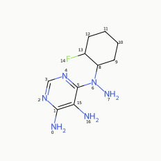 Nc1ncnc(N(N)C2CCCCC2F)c1N